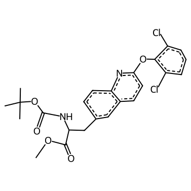 COC(=O)C(Cc1ccc2nc(Oc3c(Cl)cccc3Cl)ccc2c1)NC(=O)OC(C)(C)C